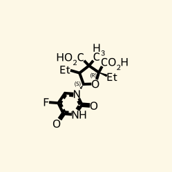 CCC1[C@@H](n2cc(F)c(=O)[nH]c2=O)O[C@@](CC)(C(=O)O)C1(C)C(=O)O